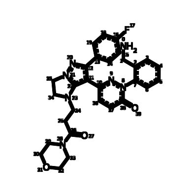 NCc1ccccc1-n1nc(-c2c(-c3ccc(F)cc3)nn3c2N(CCC(=O)N2CCOCC2)CC3)ccc1=O